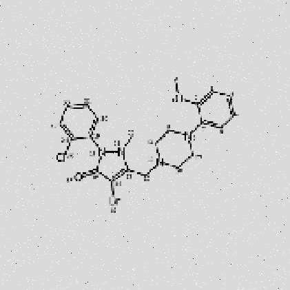 COc1ccccc1N1CCN(Cc2c(Br)c(=O)n(-c3ccccc3Cl)n2C)CC1